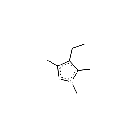 CCc1c(C)nn(C)c1I